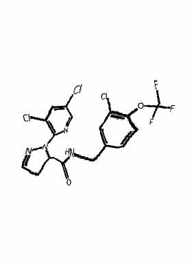 O=C(NCc1ccc(OC(F)(F)F)c(Cl)c1)C1CC=NN1c1ncc(Cl)cc1Cl